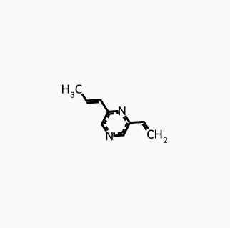 C=Cc1cncc(/C=C/C)n1